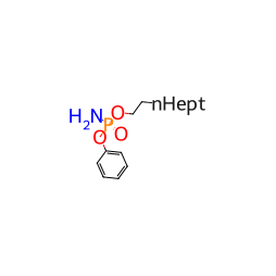 CCCCCCCCCOP(N)(=O)Oc1ccccc1